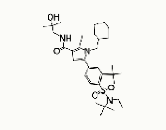 CCN(C(C)(C)C)S(=O)(=O)c1ccc(-c2cc(C(=O)NCC(C)(C)O)c(C)n2CC2CCCCC2)cc1C(C)(C)C